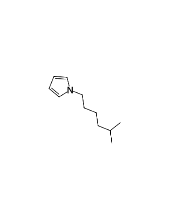 CC(C)CCCCn1cccc1